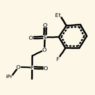 CCc1cccc(F)c1S(=O)(=O)OCP(C)(=O)OC(C)C